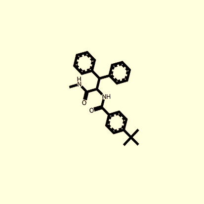 CNC(=O)C(NC(=O)c1ccc(C(C)(C)C)cc1)C(c1ccccc1)c1ccccc1